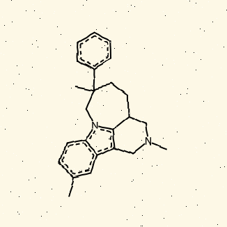 Cc1ccc2c(c1)c1c3n2CC(C)(c2ccccc2)CCC3CN(C)C1